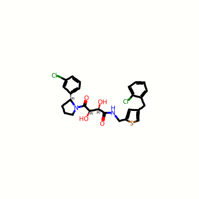 O=C(NCc1cc(Cc2ccccc2Cl)cs1)[C@H](O)[C@@H](O)C(=O)N1CCC[C@@H]1c1cccc(Cl)c1